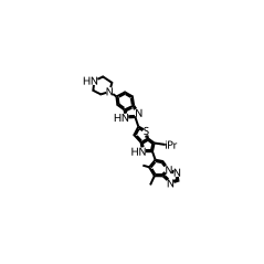 Cc1c(-c2[nH]c3cc(-c4nc5ccc(N6CCNCC6)cc5[nH]4)sc3c2C(C)C)cn2ncnc2c1C